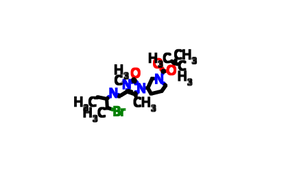 CCC(N=Cc1c(C)n(C2CCCN(C(=O)OC(C)(C)C)C2)c(=O)n1C)[C@H](C)Br